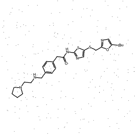 CC(C)(C)c1cnc(CSc2cnc(NC(=O)Cc3ccc(CNCCN4CCCC4)cc3)s2)o1